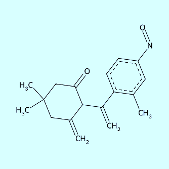 C=C1CC(C)(C)CC(=O)C1C(=C)c1ccc(N=O)cc1C